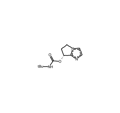 CC(C)(C)NC(=O)O[C@@H]1CCn2ccnc21